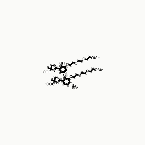 COCCOCCOCCOc1cccc(C2=N[C@@](C)(C(=O)[O-])CS2)c1O.COCCOCCOCCOc1cccc(C2=N[C@@](C)(C(=O)[O-])CS2)c1O.[Na+].[Na+]